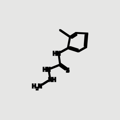 Cc1ccccc1NC(=S)NNN